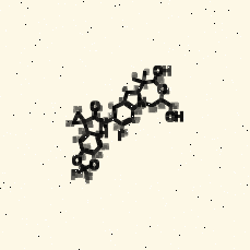 CC1(C)c2cc3cc(NC(=O)C4(c5ccc6c(c5)OC(F)(F)O6)CC4)c(F)cc3n2CC(CO)OC1O